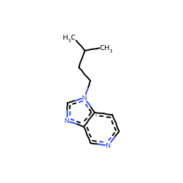 CC(C)CCn1cnc2cnccc21